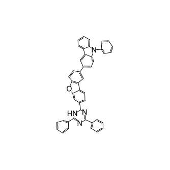 c1ccc(C2=NC(c3ccc4c(c3)oc3ccc(-c5ccc6c(c5)c5ccccc5n6-c5ccccc5)cc34)NC(c3ccccc3)=N2)cc1